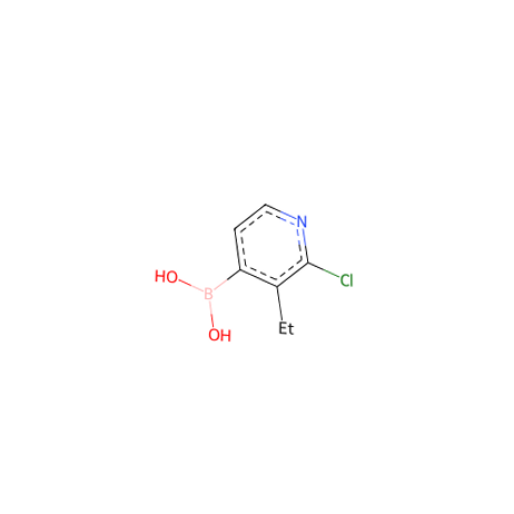 CCc1c(B(O)O)ccnc1Cl